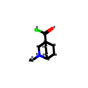 CC(=O)N1CC2(C(=O)Cl)CCC1CC2